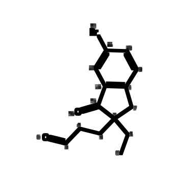 CCC1(CCC=O)Cc2ccc(Br)cc2C1=O